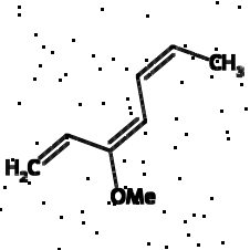 C=C/C(=C\C=C/C)OC